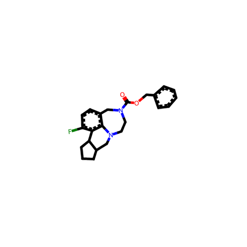 O=C(OCc1ccccc1)N1CCN2CC3CCCC3c3c(F)ccc(c32)C1